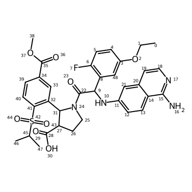 CCOc1ccc(F)c(C(Nc2ccc3c(N)nccc3c2)C(=O)N2CCC(C(=O)O)C2c2cc(C(=O)OC)ccc2S(=O)(=O)C(C)C)c1